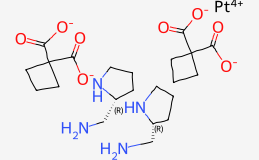 NC[C@H]1CCCN1.NC[C@H]1CCCN1.O=C([O-])C1(C(=O)[O-])CCC1.O=C([O-])C1(C(=O)[O-])CCC1.[Pt+4]